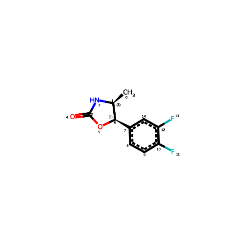 C[C@@H]1NC(=O)O[C@@H]1c1ccc(F)c(F)c1